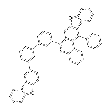 c1ccc(-c2c3c(cc4c(-c5cccc(-c6cccc(-c7ccc8oc9ccccc9c8c7)c6)c5)nc5ccccc5c24)oc2ccccc23)cc1